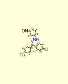 O=Nc1cccc(NN=C(c2ccc(Cl)cc2)c2ccc(Cl)cc2)c1